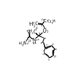 C=C(OC(C)(CCc1ccccc1)NC(N)=O)C(=O)O